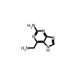 NCc1nc(N)nc2nc[nH]c12